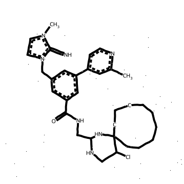 Cc1cc(-c2cc(Cn3ccn(C)c3=N)cc(C(=O)NCC3NCC(Cl)C4(CCCCCCCCC4)N3)c2)ccn1